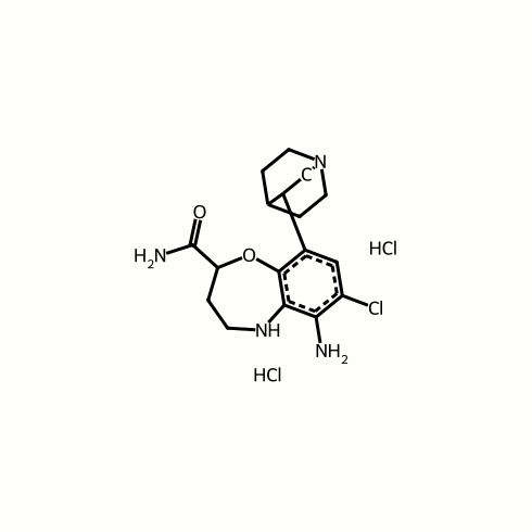 Cl.Cl.NC(=O)C1CCNc2c(N)c(Cl)cc(C3CN4CCC3CC4)c2O1